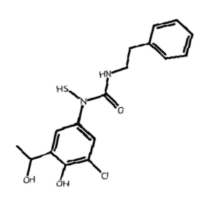 CC(O)c1cc(N(S)C(=O)NCCc2ccccc2)cc(Cl)c1O